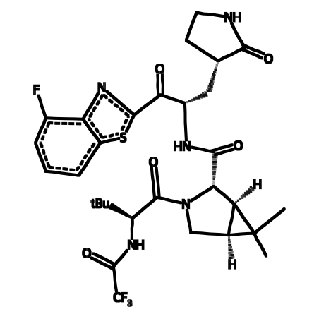 CC(C)(C)[C@H](NC(=O)C(F)(F)F)C(=O)N1C[C@H]2[C@@H]([C@H]1C(=O)N[C@@H](C[C@@H]1CCNC1=O)C(=O)c1nc3c(F)cccc3s1)C2(C)C